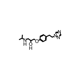 CC(C)NCC(O)COc1ccc(CCn2cncn2)cc1